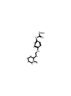 CCCCCCC(=O)Oc1ccc(OCCC2CCCCN2C)cc1